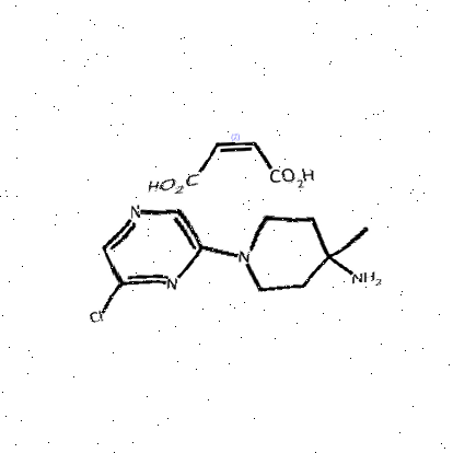 CC1(N)CCN(c2cncc(Cl)n2)CC1.O=C(O)/C=C\C(=O)O